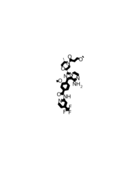 COCCC(=O)N1C[C@H](c2nc(-c3ccc(C(=O)Nc4cc(C(F)(F)F)ccn4)cc3OC)c3c(N)nccn23)OC[C@@H]1C